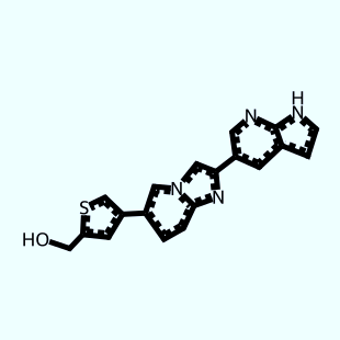 OCc1cc(-c2ccc3nc(-c4cnc5[nH]ccc5c4)cn3c2)cs1